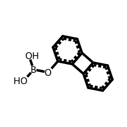 OB(O)Oc1cccc2c1-c1ccccc1-2